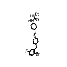 CCNC(=O)N[C@H]1CC[C@H](CCN2CCC(Cc3cc(F)ccc3Br)CC2)CC1